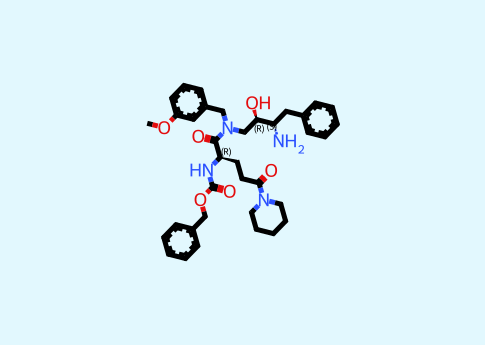 COc1cccc(CN(C[C@@H](O)[C@@H](N)Cc2ccccc2)C(=O)[C@@H](CCC(=O)N2CCCCC2)NC(=O)OCc2ccccc2)c1